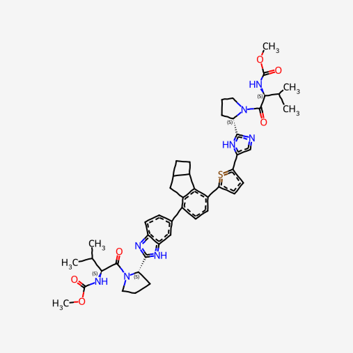 COC(=O)N[C@H](C(=O)N1CCC[C@H]1c1ncc(-c2ccc(-c3ccc(-c4ccc5nc([C@@H]6CCCN6C(=O)[C@@H](NC(=O)OC)C(C)C)[nH]c5c4)c4c3C3CCC3C4)s2)[nH]1)C(C)C